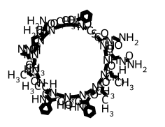 C=C(C(N)=O)[C@H]1NC(=O)[C@H](C)C(C)C(=O)[C@H](Cc2ccccc2)NC(=O)CSC[C@@H](C(=O)NCC(N)=O)NC(=O)[C@H](CCCNC(N)=O)NC(=O)[C@H](CCCC)N(C)C(=O)[C@H](CCCC)N(C)C(=O)[C@H](Cc2c[nH]c3ccccc23)NC(=O)[C@H](CO)NC(=O)[C@H](Cc2c[nH]c3ccccc23)NC(=O)CN(C)C(=O)[C@H](CC(C)C)NC(=O)[C@H](Cc2cnc[nH]2)NC(=O)[C@@H]2CCCN2C1=O